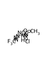 Cc1ccc(C(=O)c2nn(-c3ccc(Cl)cc3)c(NCCCN3CCn4cc(C(F)(F)F)nc4C3)c2C#N)cc1